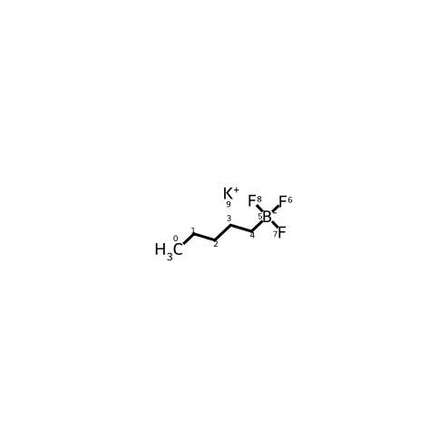 CCCCC[B-](F)(F)F.[K+]